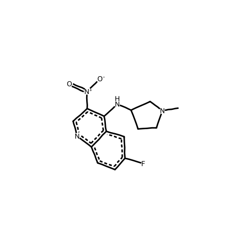 CN1CCC(Nc2c([N+](=O)[O-])cnc3ccc(F)cc23)C1